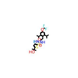 CC(C)c1cc(OC(F)F)cc(C(C)C)c1CC(=O)N[S@](=N)(=O)c1sc(C(C)(C)O)cc1F